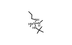 CCCN[Si](NC)(NC)NC(C)(C)C